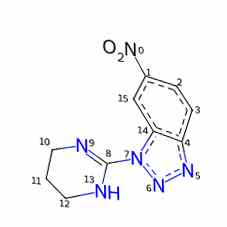 O=[N+]([O-])c1ccc2nnn(C3=NCCCN3)c2c1